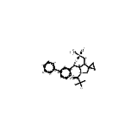 CC(C)(F)C(=O)N1CC2(CC2)C(CS(N)(=O)=O)C1Cc1cccc(-c2ccccc2)c1